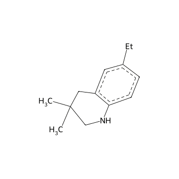 CCc1ccc2c(c1)CC(C)(C)CN2